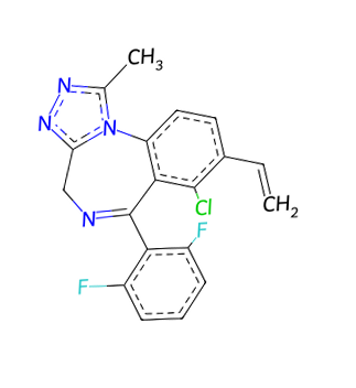 C=Cc1ccc2c(c1Cl)C(c1c(F)cccc1F)=NCc1nnc(C)n1-2